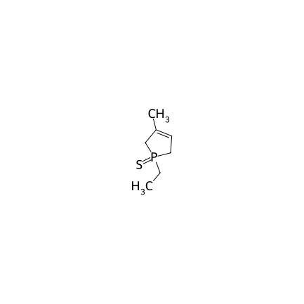 CCP1(=S)CC=C(C)C1